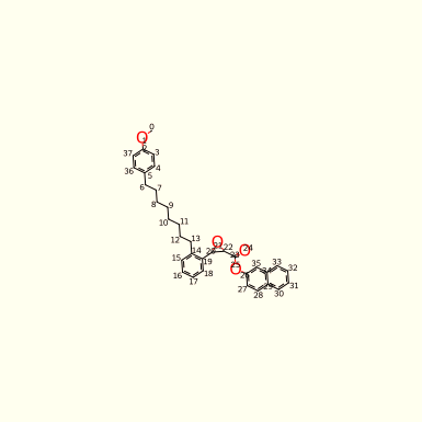 COc1ccc(CCCCCCCCc2ccccc2C2OC2C(=O)Oc2ccc3ccccc3c2)cc1